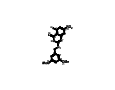 COc1cc(COc2nc3cc([N+](=O)[O-])cc(I)c3c(=O)o2)cc(OC)c1